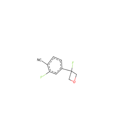 N#Cc1ccc(C2(F)COC2)cc1F